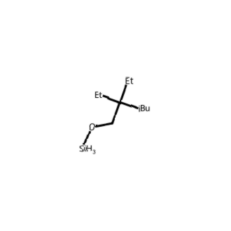 CCC(C)C(CC)(CC)CO[SiH3]